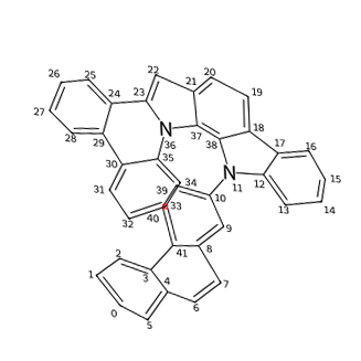 c1ccc2c(c1)ccc1cc(-n3c4ccccc4c4ccc5cc6c7ccccc7c7ccccc7n6c5c43)ccc12